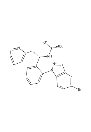 CC(C)(C)[S@+]([O-])N[C@@H](Cc1ccccn1)c1ccccc1-n1ncc2cc(Br)ccc21